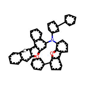 c1ccc(-c2cccc(N(c3cc4oc5cc6ccccc6cc5c4c4ccccc34)c3cccc4c3oc3c(-c5ccccc5)cccc34)c2)cc1